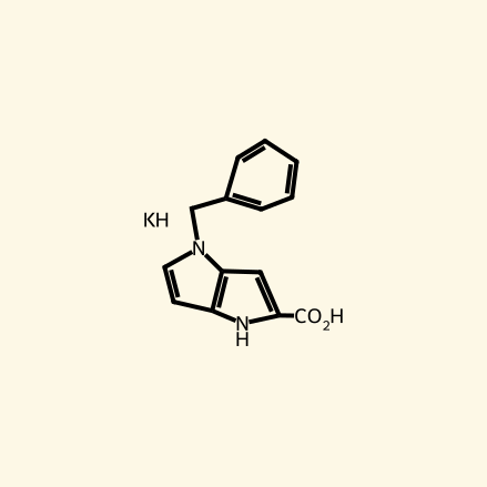 O=C(O)c1cc2c(ccn2Cc2ccccc2)[nH]1.[KH]